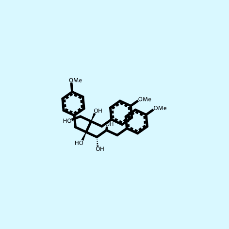 COc1ccc(CC(O)[C@H](O)[C@](O)(Cc2ccc(OC)cc2)[C@](O)(CO)Cc2ccc(OC)cc2)cc1